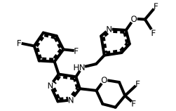 Fc1ccc(F)c(-c2ncnc(C3CCC(F)(F)CO3)c2NCc2ccc(OC(F)F)nc2)c1